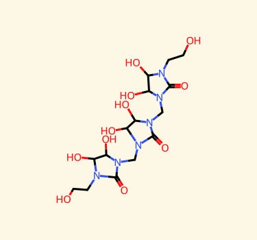 O=C1N(CCO)C(O)C(O)N1CN1C(=O)N(CN2C(=O)N(CCO)C(O)C2O)C(O)C1O